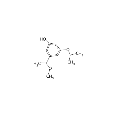 C=C(OC)c1cc(O)cc(OC(C)C)c1